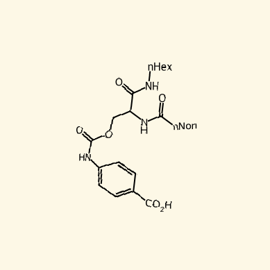 CCCCCCCCCC(=O)NC(COC(=O)Nc1ccc(C(=O)O)cc1)C(=O)NCCCCCC